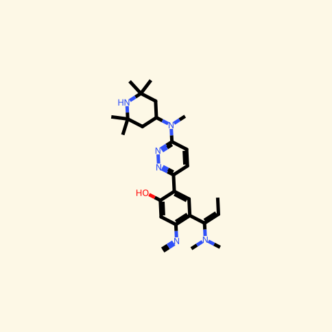 C=Nc1cc(O)c(-c2ccc(N(C)C3CC(C)(C)NC(C)(C)C3)nn2)cc1/C(=C\C)N(C)C